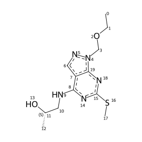 CCOCn1ncc2c(NC[C@H](C)O)nc(SC)nc21